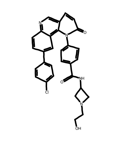 O=C(NC1CN(CCO)C1)c1ccc(-n2c(=O)ccc3cnc4ccc(-c5ccc(Cl)cc5)cc4c32)cc1